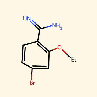 CCOc1cc(Br)ccc1C(=N)N